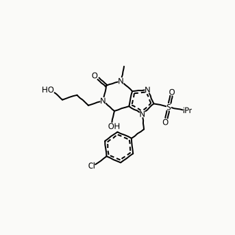 CC(C)S(=O)(=O)c1nc2c(n1Cc1ccc(Cl)cc1)C(O)N(CCCO)C(=O)N2C